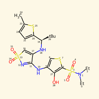 CCN(CC)S(=O)(=O)c1scc(NC2=NS(=O)(=O)C=C2N[C@@H](c2ccc(C)s2)C(C)(C)C)c1O